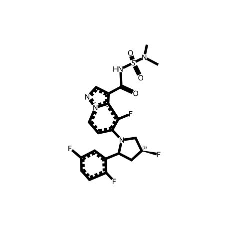 CN(C)S(=O)(=O)NC(=O)c1cnn2ccc(N3C[C@@H](F)CC3c3cc(F)ccc3F)c(F)c12